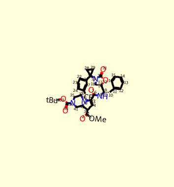 COC(=O)C1C=C(C(=O)N[C@@H](Cc2ccccc2)[C@H]2CN(C3(c4cccc(C(F)(F)F)c4)CC3)C(=O)O2)N2CCN(C(=O)OC(C)(C)C)CC12